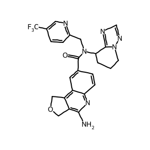 Nc1nc2ccc(C(=O)N(Cc3ccc(C(F)(F)F)cn3)C3CCCn4ncnc43)cc2c2c1COC2